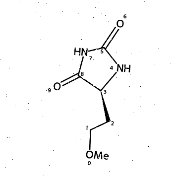 COCC[C@@H]1NC(=O)NC1=O